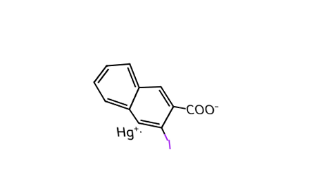 O=C([O-])c1cc2ccccc2cc1I.[Hg+]